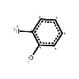 [2H]c1ccccc1[O]